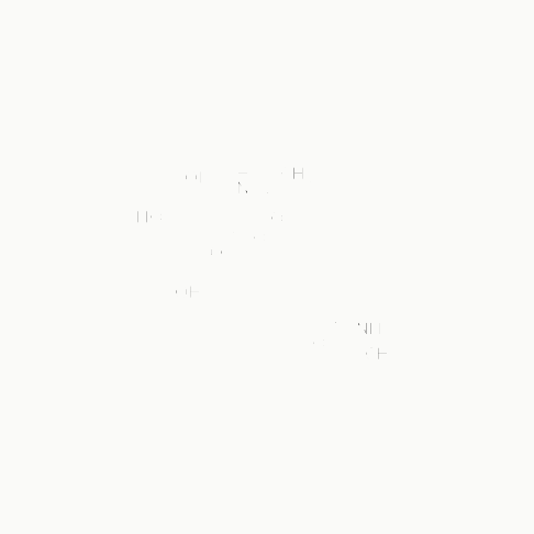 CNC(=O)CCCCOC1OC(CO)C(O)C(O)C1NC(C)=O